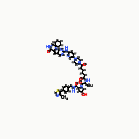 Cc1ncsc1-c1ccc(CNC(=O)[C@@H]2C[C@@H](O)CN2C(=O)C(NC(=O)CCCCC(=O)N2CCN(c3ccc(Nc4ncc5cc6n(c5n4)C4(CCCCC4)CNC6=O)nc3)CC2)C(C)(C)C)cc1